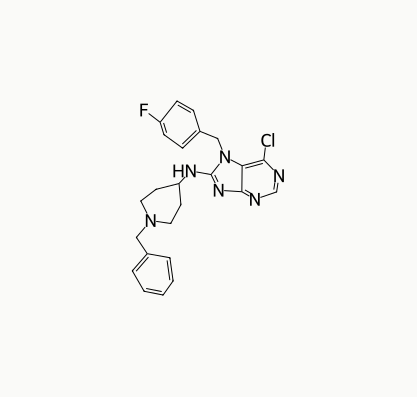 Fc1ccc(Cn2c(NC3CCN(Cc4ccccc4)CC3)nc3ncnc(Cl)c32)cc1